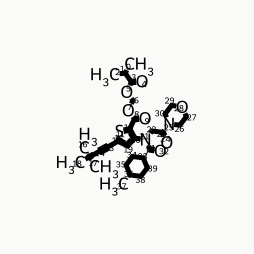 CC(C)C(=O)OCOC(=O)c1sc(C#CC(C)(C)C)cc1N(CC(=O)N1CCOCC1)C(=O)[C@H]1CC[C@H](C)CC1